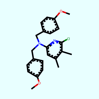 COc1ccc(CN(Cc2ccc(OC)cc2)c2cc(C)c(C)c(Cl)n2)cc1